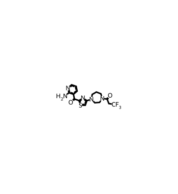 Nc1ncccc1C(=O)c1nc(N2CCCN(C(=O)CC(F)(F)F)CC2)cs1